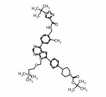 Cc1cc(-c2ncnc3c2cc(-c2ccc(C4CCN(C(=O)OC(C)(C)C)CC4)cc2)n3COCC[Si](C)(C)C)ccc1CNC(=O)c1cn(C(C)(C)C)nn1